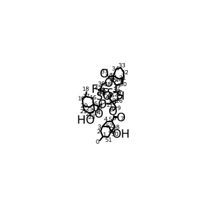 CC1CC2CC(C(=O)OCC3(COC(=O)C45CC(C)CC(CC(O)C4)C5)CSC(C4C=C5CCCC(C(=O)OCC(F)(F)S(=O)(=O)O)(C5)C4)SC3)CC(O)(C1)C2